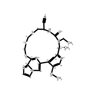 CCN1C(=O)NC(C#N)CCCCCOc2nc(cn3ccnc23)-c2cc(ncc2OC)[C@H]1C